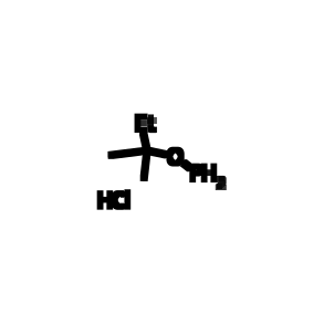 CCC(C)(C)OP.Cl